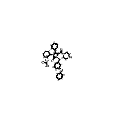 CCC(=O)N[C@H]1CCCCC1n1c(-c2ccccc2)c(C(=O)N2CCNCC2)n(Cc2cccc(Oc3ccccc3)c2)c1=O